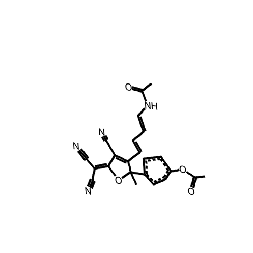 CC(=O)NC=CC=CC1=C(C#N)C(=C(C#N)C#N)OC1(C)c1ccc(OC(C)=O)cc1